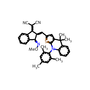 CO/N=C1/C(=C\c2cc3c(s2)N(c2c(C)cc(C)cc2C)c2ccccc2C3(C)C)C(=C(C#N)C#N)c2ccccc21